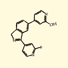 Oc1cc(-c2ccc3c(c2)C(c2ccnc(F)c2)=NC3)ccn1